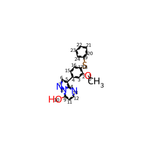 COc1cc(-c2cnn3c(O)ccnc23)ccc1Sc1ccccc1